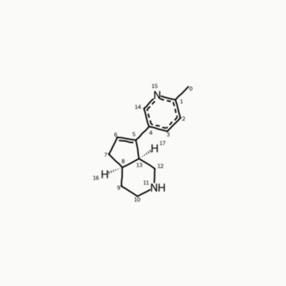 Cc1ccc(C2=CC[C@@H]3CCNC[C@H]23)cn1